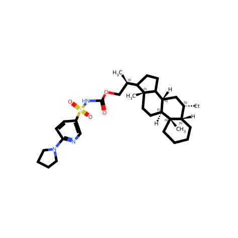 CC[C@H]1C[C@H]2C3CCC([C@H](C)COC(=O)NS(=O)(=O)c4ccc(N5CCCC5)nc4)[C@@]3(C)CC[C@@H]2[C@@]2(C)CCCC[C@@H]12